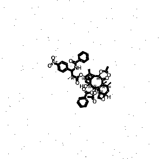 CC(=O)O[C@H]1C(=O)[C@@]2(C)[C@H]([C@H](OC(=O)c3ccccc3)[C@]3(O)C[C@H](OC(=O)[C@H](C)C(NC(=O)c4ccccc4)c4ccc([N+](=O)[O-])cc4)C(C)=C1C3(C)C)[C@]1(OC(C)=O)CO[C@@H]1C[C@@H]2C